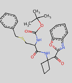 CC(C)(C)OC(=O)NC(CSCc1ccccc1)C(=O)NC1(C(=O)c2nc3ccccc3o2)CCC1